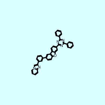 c1ccc(-c2nc(-c3ccccc3)nc(-c3ccc4c(c3)oc3ccc(-c5cccc(-c6cn7ccccc7n6)c5)cc34)n2)cc1